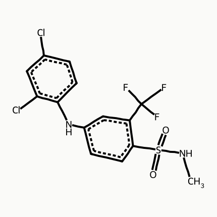 CNS(=O)(=O)c1ccc(Nc2ccc(Cl)cc2Cl)cc1C(F)(F)F